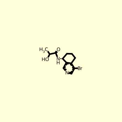 CC(O)C(=O)N[C@@H]1CCCc2c(Br)cncc21